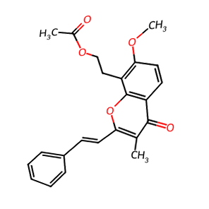 COc1ccc2c(=O)c(C)c(C=Cc3ccccc3)oc2c1CCOC(C)=O